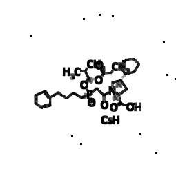 CCC(=O)O[C@H](O[P@](=O)(CCCCc1ccccc1)CC(=O)N1C[C@H](C2CCCCC2)C[C@H]1C(=O)O)C(C)C.[CsH]